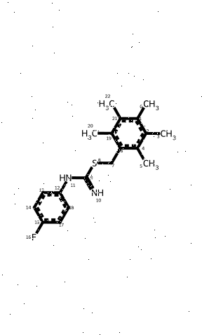 Cc1c(C)c(C)c(CSC(=N)Nc2ccc(F)cc2)c(C)c1C